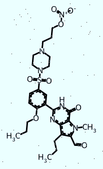 CCCOc1ccc(S(=O)(=O)N2CCN(CCCO[N+](=O)[O-])CC2)cc1-c1nc2c(CCC)c(C=O)n(C)c2c(=O)[nH]1